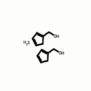 OCC1=CC=CC1.OCC1=CC=CC1.S